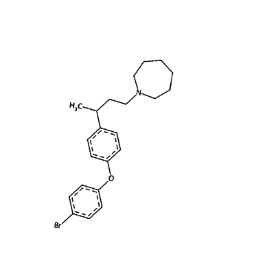 CC(CCN1CCCCCC1)c1ccc(Oc2ccc(Br)cc2)cc1